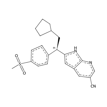 CS(=O)(=O)c1ccc([C@@H](CC2CCCC2)c2cc3cc(C#N)cnc3[nH]2)cc1